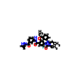 CCc1nn(-c2cc(O[C@@H](C)c3ccccc3)c(C(=O)Nc3cccc(C(=O)NC4CC4)c3)cc2F)c(=O)n1C